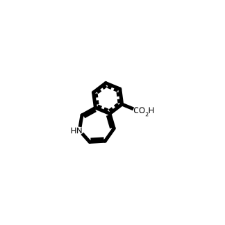 O=C(O)c1cccc2c1=CC=CNC=2